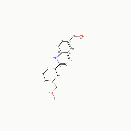 COC[C@@H]1CCC[C@@H](c2ccc3cc(CO)ccc3n2)C1